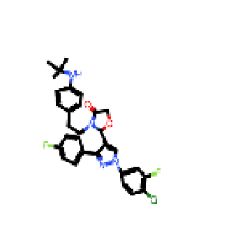 CC(C)(C)Nc1ccc(CCN2C(=O)COC2c2cn(-c3ccc(Cl)c(F)c3)nc2-c2ccc(F)cc2)cc1